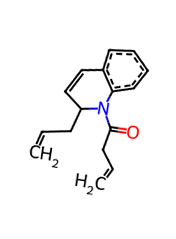 C=CCC(=O)N1c2ccccc2C=CC1CC=C